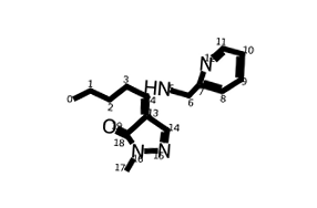 CCCCC(NCc1ccccn1)=C1C=NN(C)C1=O